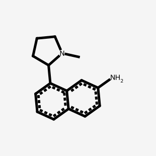 CN1CCCC1c1cccc2ccc(N)cc12